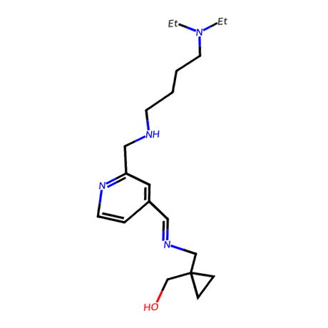 CCN(CC)CCCCNCc1cc(C=NCC2(CO)CC2)ccn1